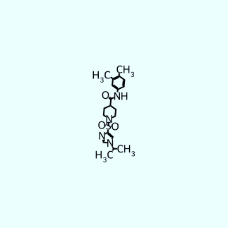 Cc1ccc(NC(=O)C2CCN(S(=O)(=O)c3cn(C(C)C)cn3)CC2)cc1C